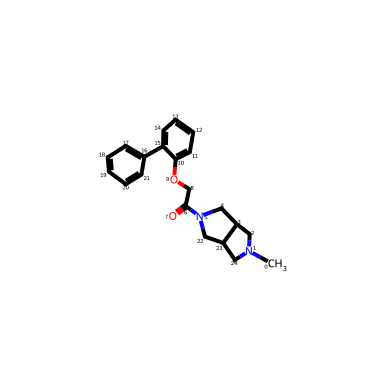 CN1CC2CN(C(=O)COc3ccccc3-c3ccccc3)CC2C1